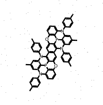 Cc1ccc(-n2c3cccc4oc5cc6c(cc7oc8cccc9c8p8c%10c(cc(C)cc%10n(-c%10ccc(C)cc%10)c6c78)n9-c6ccc(C)cc6)c6c5p(c43)c3c2cc(C)cc3n6-c2ccc(C)cc2)cc1